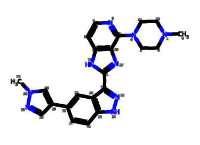 CN1CCN(c2nccc3[nH]c(-c4n[nH]c5ccc(-c6cnn(C)c6)cc45)nc23)CC1